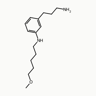 COCCCCCNc1cccc(CCCN)c1